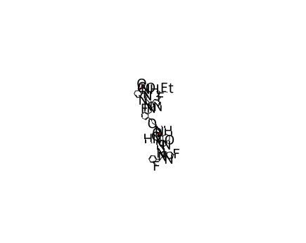 CCOC(=O)C12CC=Cc3nc(-c4nn(Cc5c(F)cccc5COCCNC(=O)C56CCOc7nc(-c8nn(Cc9ccccc9F)c9ncc(F)cc89)nc(c75)NC6=O)c5ncc(F)cc45)nc(c31)NC2=O